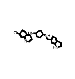 Clc1ccc2c(NC3CCC(NCc4ccc5cc[nH]c5c4)CC3)ccnc2c1